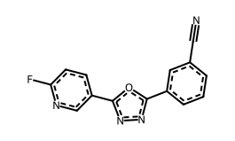 N#Cc1cccc(-c2nnc(-c3ccc(F)nc3)o2)c1